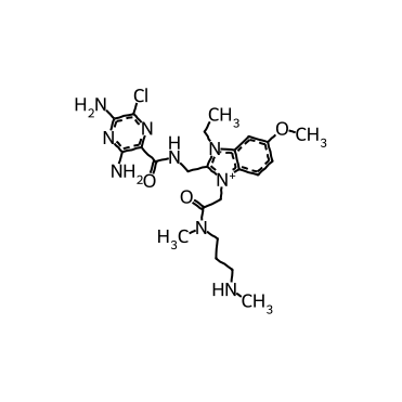 CCn1c(CNC(=O)c2nc(Cl)c(N)nc2N)[n+](CC(=O)N(C)CCCNC)c2ccc(OC)cc21